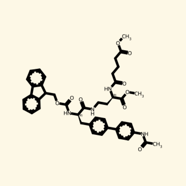 COC(=O)CCCC(=O)N[C@H](CCNC(=O)[C@@H](Cc1ccc(-c2ccc(NC(C)=O)cc2)cc1)NC(=O)OCC1c2ccccc2-c2ccccc21)C(=O)OC